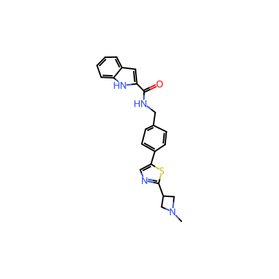 CN1CC(c2ncc(-c3ccc(CNC(=O)c4cc5ccccc5[nH]4)cc3)s2)C1